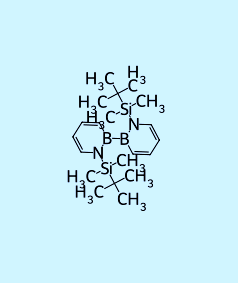 CC(C)(C)[Si](C)(C)N1C=CC=CB1B1C=CC=CN1[Si](C)(C)C(C)(C)C